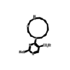 CCOC(=O)c1cnc(SC)nc1N1CCCCCCNCOCC1